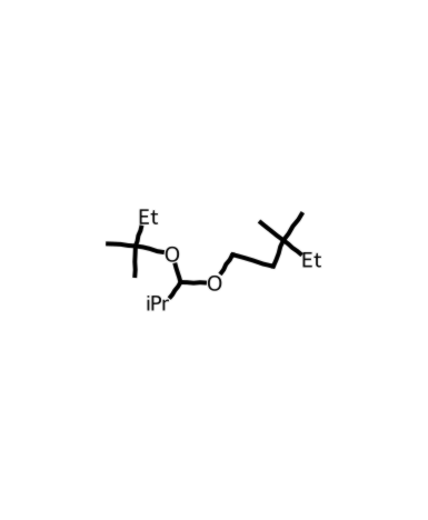 CCC(C)(C)CCOC(OC(C)(C)CC)C(C)C